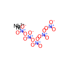 O=[N+]([O-])[O-].O=[N+]([O-])[O-].O=[N+]([O-])[O-].O=[N+]([O-])[O-].O=[N+]([O-])[O-].[Nb+5].[Ni]